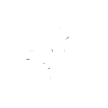 C[C@@H]1CC[C@]2(CC(=O)O)CC[C@]3(C)C(=CC[C@@H]4[C@@]5(C)CC[C@@H](O)C(C)(C)[C@@H]5CC[C@]43C)[C@@H]2[C@]1(C)O